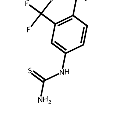 Cc1ccc(NC(N)=S)cc1C(F)(F)F